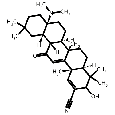 CN(C)[C@]12CCC(C)(C)C[C@H]1[C@H]1C(=O)C=C3[C@@]4(C)C=C(C#N)C(O)C(C)(C)[C@@H]4CC[C@@]3(C)[C@]1(C)CC2